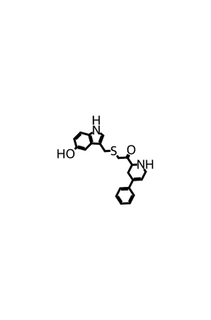 O=C(CSCc1c[nH]c2ccc(O)cc12)C1CC(c2ccccc2)=CCN1